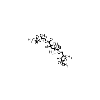 CCC(C)(CC(C)(C)C(=O)OCC(C)NS(C)(=O)=O)C(=O)OCC(C)NS(C)(=O)=O